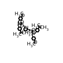 COc1ccc(CN(Cc2ccc(N(C)C)cc2)C(=O)OCc2cccc(COC(=O)N(Cc3ccc(OC)cc3)Cc3ccc(N(C)C)cc3)n2)cc1